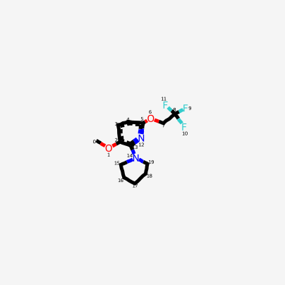 COc1ccc(OCC(F)(F)F)nc1N1CCCCC1